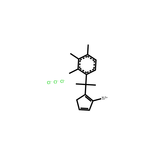 Cc1ccc(C(C)(C)C2=[C]([Ti+3])C=CC2)c(C)c1C.[Cl-].[Cl-].[Cl-]